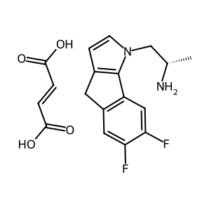 C[C@H](N)Cn1ccc2c1-c1cc(F)c(F)cc1C2.O=C(O)/C=C/C(=O)O